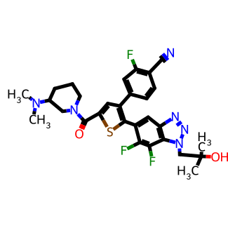 CN(C)C1CCCN(C(=O)c2cc(-c3ccc(C#N)c(F)c3)c(-c3cc4nnn(CC(C)(C)O)c4c(F)c3F)s2)C1